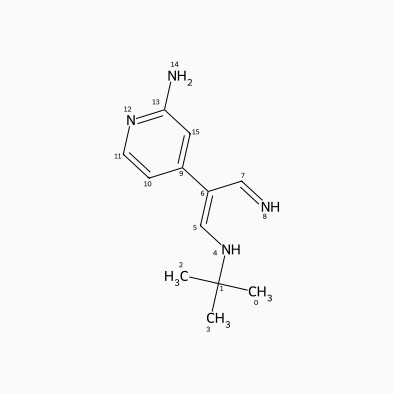 CC(C)(C)N/C=C(\C=N)c1ccnc(N)c1